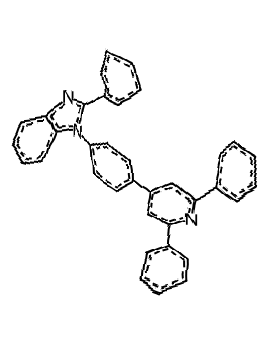 c1ccc(-c2cc(-c3ccc(-n4c(-c5ccccc5)nc5ccccc54)cc3)cc(-c3ccccc3)n2)cc1